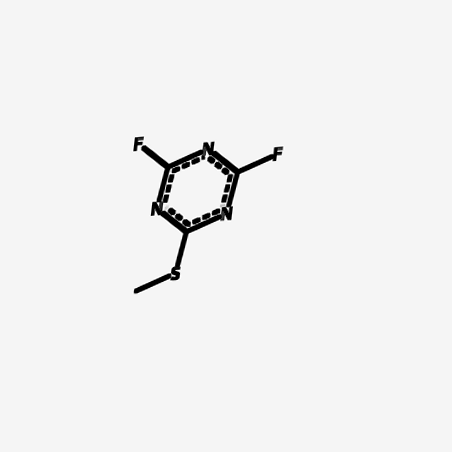 CSc1nc(F)nc(F)n1